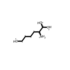 NC(CCCCO)C(O)O